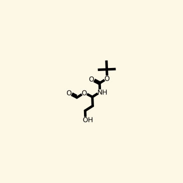 CC(C)(C)OC(=O)NC(CCO)OC=O